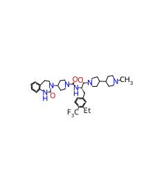 CCc1cc(C[C@@H](NC(=O)N2CCC(N3CCc4ccccc4NC3=O)CC2)C(=O)N2CCC(C3CCN(C)CC3)CC2)ccc1C(F)(F)F